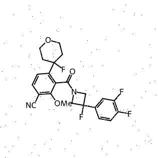 COc1c(C#N)ccc(C2(F)CCOCC2)c1C(=O)N1CC(F)(c2ccc(F)c(F)c2)C1